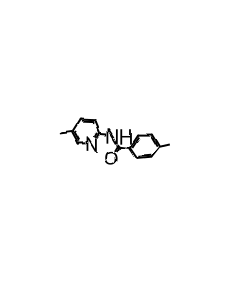 Cc1ccc(C(=O)Nc2ccc(C)cn2)cc1